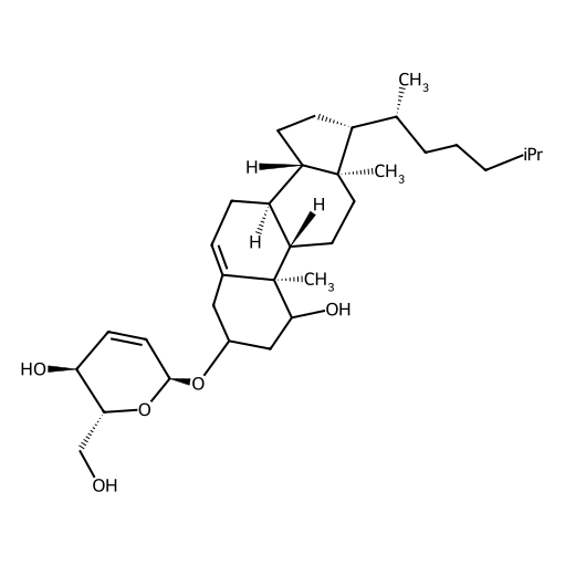 CC(C)CCC[C@@H](C)[C@H]1CC[C@H]2[C@@H]3CC=C4CC(O[C@@H]5C=C[C@H](O)[C@@H](CO)O5)CC(O)[C@]4(C)[C@H]3CC[C@]12C